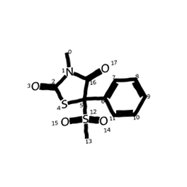 CN1C(=O)SC(c2ccccc2)(S(C)(=O)=O)C1=O